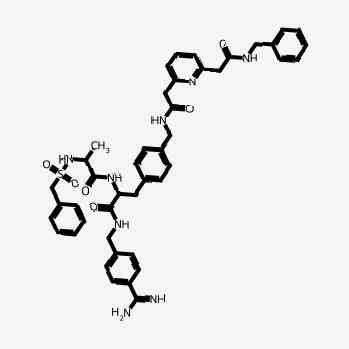 CC(NS(=O)(=O)Cc1ccccc1)C(=O)NC(Cc1ccc(CNC(=O)Cc2cccc(CC(=O)NCc3ccccc3)n2)cc1)C(=O)NCc1ccc(C(=N)N)cc1